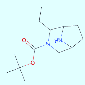 CCC1C2CCC(CN1C(=O)OC(C)(C)C)N2